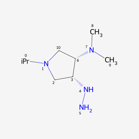 CC(C)N1C[C@@H](NN)[C@@H](N(C)C)C1